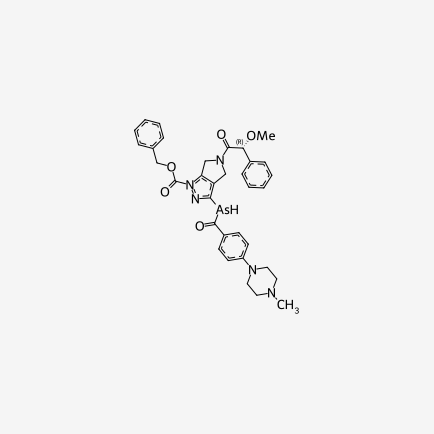 CO[C@@H](C(=O)N1Cc2c([AsH]C(=O)c3ccc(N4CCN(C)CC4)cc3)nn(C(=O)OCc3ccccc3)c2C1)c1ccccc1